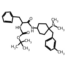 Cc1cccc(CC2(N(C)C)CCC(NC(=O)C(Cc3ccccc3)NC(=O)OC(C)(C)C)CC2)c1